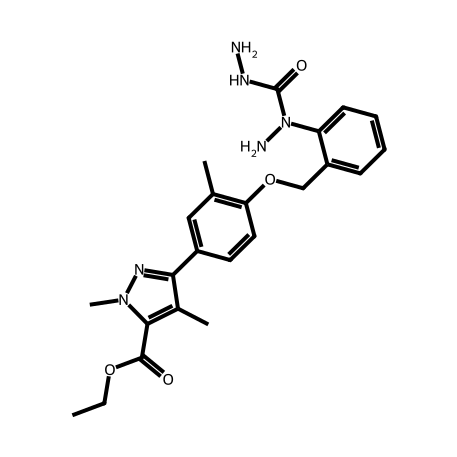 CCOC(=O)c1c(C)c(-c2ccc(OCc3ccccc3N(N)C(=O)NN)c(C)c2)nn1C